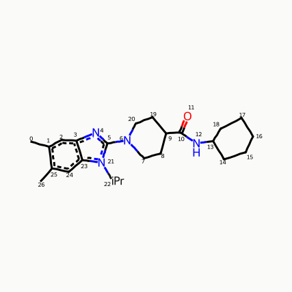 Cc1cc2nc(N3CCC(C(=O)NC4CCCCC4)CC3)n(C(C)C)c2cc1C